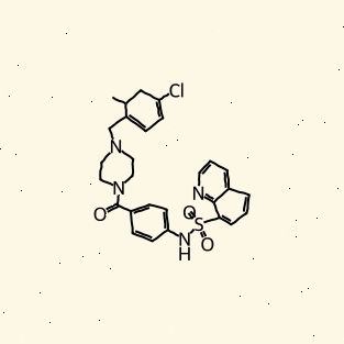 CC1CC(Cl)=CC=C1CN1CCN(C(=O)c2ccc(NS(=O)(=O)c3cccc4cccnc34)cc2)CC1